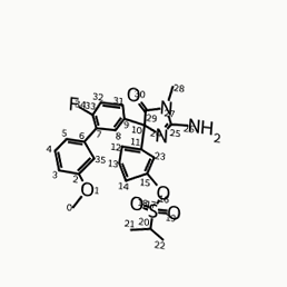 COc1cccc(-c2cc(C3(c4cccc(OS(=O)(=O)C(C)C)c4)N=C(N)N(C)C3=O)ccc2F)c1